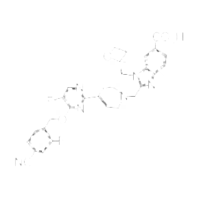 N#Cc1ccc(COc2nc(C3=CCN(Cc4nc5ccc(C(=O)O)cc5n4C[C@@H]4CCO4)CC3)ncc2F)c(F)c1